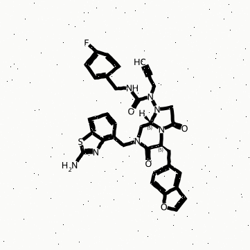 C#CCN(C(=O)NCc1ccc(F)cc1)N1CC(=O)N2[C@@H](Cc3ccc4occc4c3)C(=O)N(Cc3cccc4sc(N)nc34)C[C@@H]21